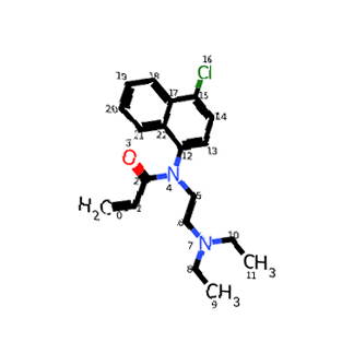 C=CC(=O)N(CCN(CC)CC)c1ccc(Cl)c2ccccc12